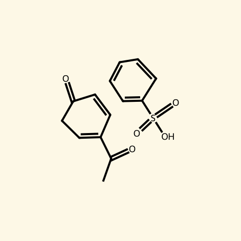 CC(=O)C1=CCC(=O)C=C1.O=S(=O)(O)c1ccccc1